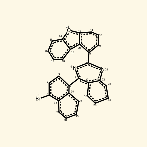 Brc1ccc(-c2nc(-c3cccc4oc5ccccc5c34)nc3ccccc23)c2ccccc12